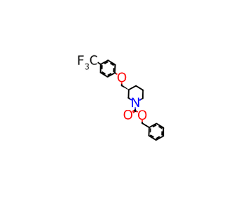 O=C(OCc1ccccc1)N1CCC[C@H](COc2ccc(C(F)(F)F)cc2)C1